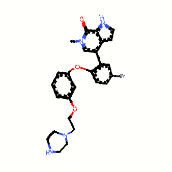 CC(C)c1ccc(Oc2cccc(OCCN3CCNCC3)c2)c(-c2cn(C)c(=O)c3[nH]ccc23)c1